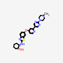 CN1CCN(c2ncc(-c3cc(Oc4ccc5nc(N[C@@H]6CCCC[C@H]6O)sc5c4)ccn3)cn2)CC1